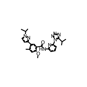 COc1cc(C)c(-c2ccn(C(C)C)n2)cc1C(=O)Nc1cccc(-n2nnnc2C(C)C)n1